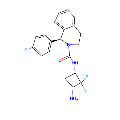 N[C@@H]1C[C@H](NC(=O)N2CCc3ccccc3[C@@H]2c2ccc(F)cc2)C1(F)F